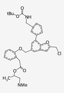 CNCC(C)OC(=O)Cc1ccccc1OCc1cc(-c2cccc(CNC(=O)OC(C)(C)C)c2)c2oc(CCl)cc2c1